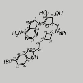 CC(C)N(C[C@H]1OC(n2cnc3c(N)ncnc32)=C(O)[C@@H]1O)[C@H]1C[C@@H](CCc2nc3cc(C(C)(C)C)ccc3[nH]2)C1